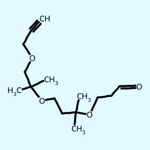 C#CCOCC(C)(C)OCCC(C)(C)OCCC=O